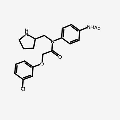 CC(=O)Nc1ccc(N(CC2CCCN2)C(=O)COc2cccc(Cl)c2)cc1